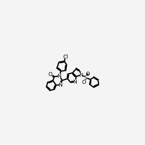 O=c1c2ccccc2nc(-c2cnc3c(ccn3S(=O)(=O)c3ccccc3)c2)n1-c1ccc(Cl)cc1